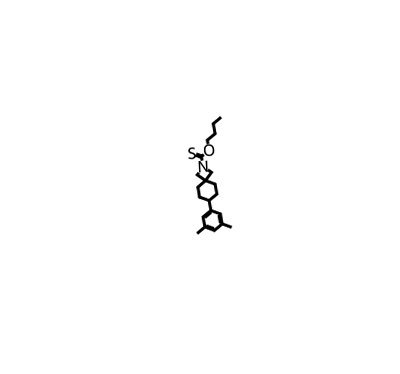 CCCCOC(=S)N1CC2(CCC(c3cc(C)cc(C)c3)CC2)C1